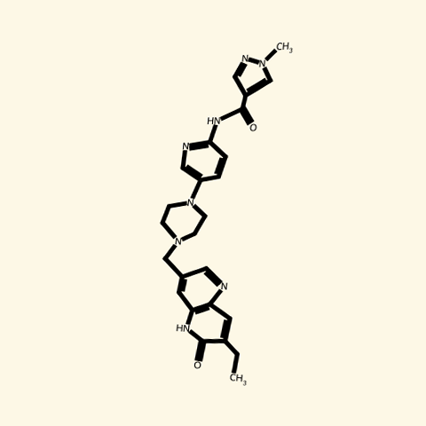 CCc1cc2ncc(CN3CCN(c4ccc(NC(=O)c5cnn(C)c5)nc4)CC3)cc2[nH]c1=O